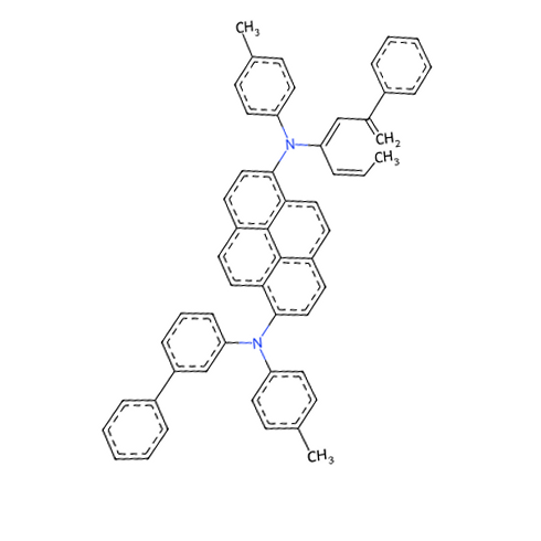 C=C(/C=C(\C=C/C)N(c1ccc(C)cc1)c1ccc2ccc3c(N(c4ccc(C)cc4)c4cccc(-c5ccccc5)c4)ccc4ccc1c2c43)c1ccccc1